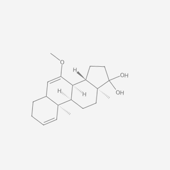 COC1=CC2CCC=C[C@]2(C)[C@@H]2CC[C@@]3(C)[C@@H](CCC3(O)O)[C@H]12